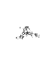 C[C@@H]1CN(c2ccc(-c3nc(N4CCOCC4)ncc3F)cc2NC(=O)c2cnc(OCCS(C)(C)C)cc2C(F)(F)F)C[C@H](C)N1C